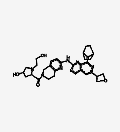 O=C([C@H]1C[C@@H](O)CN1CCO)N1CCc2nc(Nc3ncc4cc(C5COC5)nc(N5C6CCC5CC6)c4n3)ccc2C1